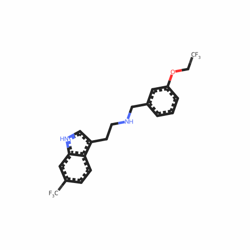 FC(F)(F)COc1cccc(CNCCc2c[nH]c3cc(C(F)(F)F)ccc23)c1